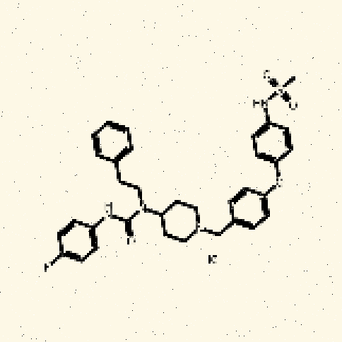 CS(=O)(=O)Nc1ccc(Oc2ccc(CN3CCC(N(CCc4ccccc4)C(=O)Nc4ccc(F)cc4)CC3)cc2)cc1.Cl